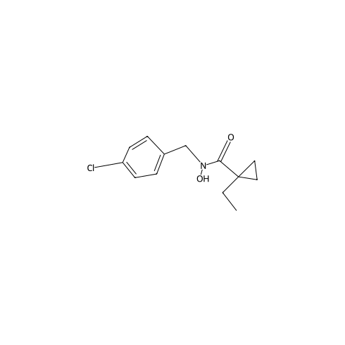 CCC1(C(=O)N(O)Cc2ccc(Cl)cc2)CC1